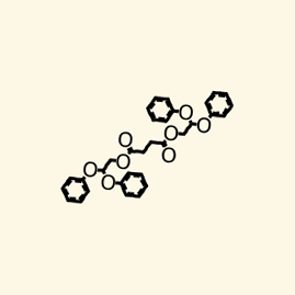 O=C(CCC(=O)OCC(Oc1ccccc1)Oc1ccccc1)OCC(Oc1ccccc1)Oc1ccccc1